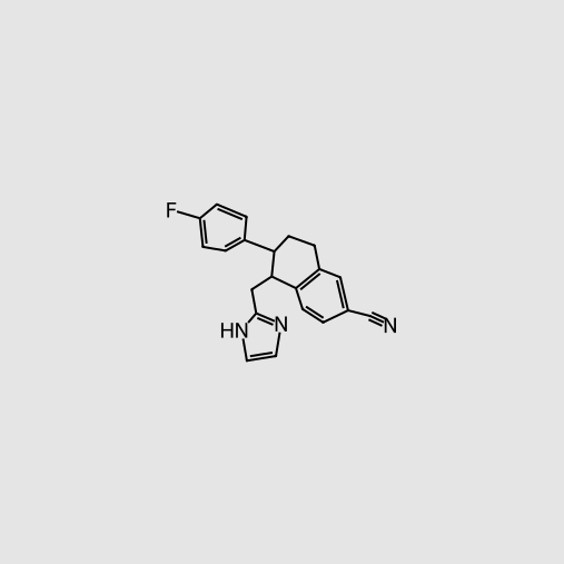 N#Cc1ccc2c(c1)CCC(c1ccc(F)cc1)C2Cc1ncc[nH]1